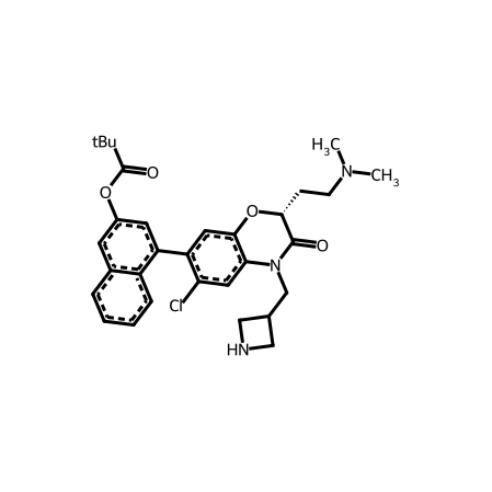 CN(C)CC[C@H]1Oc2cc(-c3cc(OC(=O)C(C)(C)C)cc4ccccc34)c(Cl)cc2N(CC2CNC2)C1=O